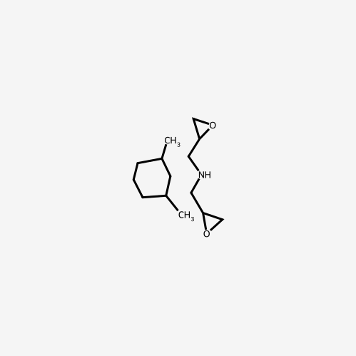 C(NCC1CO1)C1CO1.CC1CCCC(C)C1